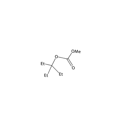 CCC(CC)(CC)OC(=O)OC